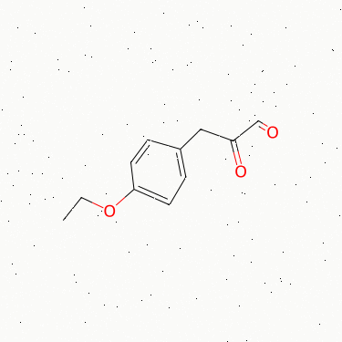 CCOc1ccc(CC(=O)C=O)cc1